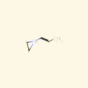 CC=CN1CC1